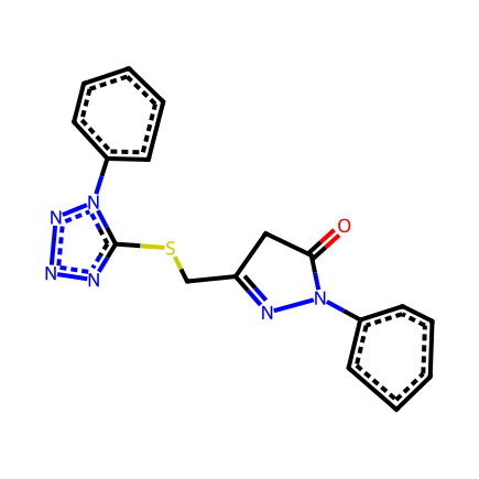 O=C1CC(CSc2nnnn2-c2ccccc2)=NN1c1ccccc1